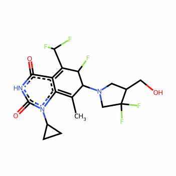 CC1=c2c(c(=O)[nH]c(=O)n2C2CC2)=C(C(F)F)C(F)C1N1CC(CO)C(F)(F)C1